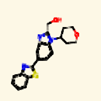 OCc1nc2cc(-c3nc4ccccc4s3)ccc2n1C1CCOCC1